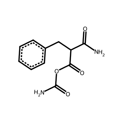 NC(=O)OC(=O)C(Cc1ccccc1)C(N)=O